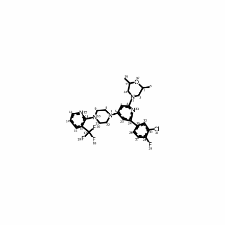 CC1CN(c2cc(N3CCN(c4ncccc4C(F)(F)F)CC3)cc(-c3ccc(F)c(Cl)c3)n2)CC(C)O1